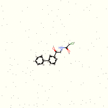 O=C(CCl)NCC(=O)c1cccc(-c2ccccc2)c1